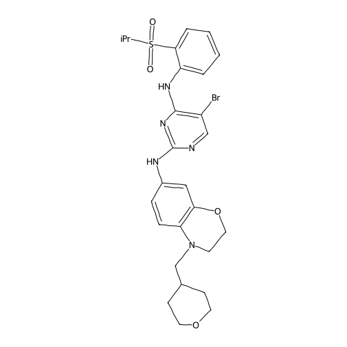 CC(C)S(=O)(=O)c1ccccc1Nc1nc(Nc2ccc3c(c2)OCCN3CC2CCOCC2)ncc1Br